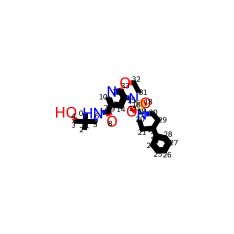 CC(C)(CO)CNC(=O)c1cnc2c(c1)N(S(=O)(=O)N1CCC(c3ccccc3)CC1)CCO2